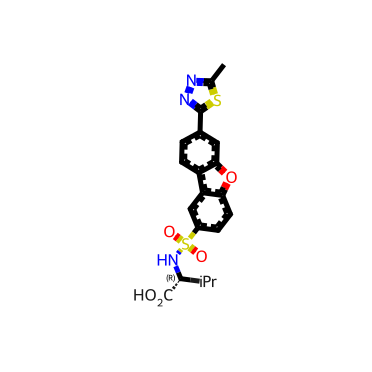 Cc1nnc(-c2ccc3c(c2)oc2ccc(S(=O)(=O)N[C@@H](C(=O)O)C(C)C)cc23)s1